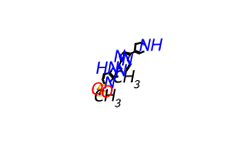 Cc1nc(S(C)(=O)=O)ccc1Nc1nccn2c(C3=CCNCC3)cnc12